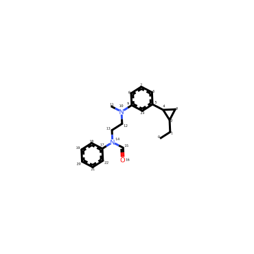 CCC1CC1c1cccc(N(C)CCN(C=O)c2ccccc2)c1